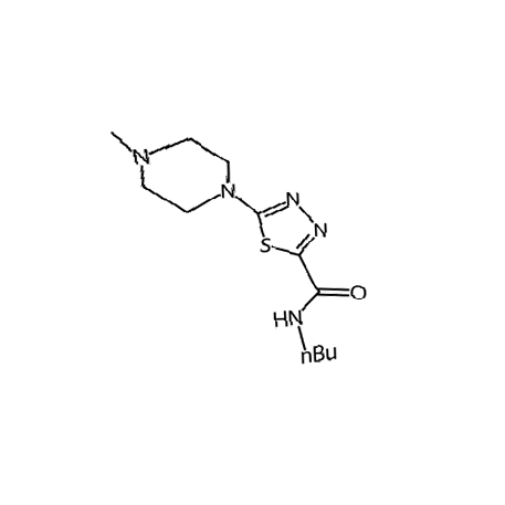 CCCCNC(=O)c1nnc(N2CCN(C)CC2)s1